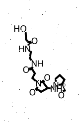 O=C[C@@H]1CCCN1NC1CC(=O)N(CCC(=O)NCCNC(=O)CCO)C1=O